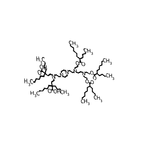 CCCCCCC(CCCC)C(=O)OCCN(CCOC(=O)C(CCCC)CCCCCC)CCN(CCOC(=O)C(CCCC)CCCCCC)CCN1CCN(CCN(CCC(CCCC)(CCCCCC)C(=O)O)CCC(CCCC)(CCCCCC)C(=O)O)CC1